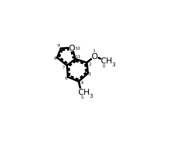 COc1cc(C)cc2ccoc12